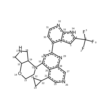 FC(F)(F)c1cc2c(-c3nc(N4CCOC5CNCC54)c4c(C5CC5)cncc4n3)ccnc2[nH]1